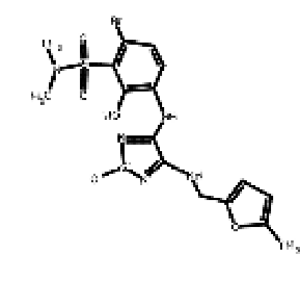 Cc1ccc(CNc2n[s+]([O-])nc2Nc2ccc(Br)c(S(=O)(=O)N(C)C)c2O)o1